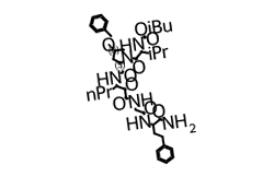 CCCC(NC(=O)[C@@H]1C[C@@H](OCc2ccccc2)CN1C(=O)C(NC(=O)OCC(C)C)C(C)C)C(=O)C(=O)NCC(=O)NC(CCc1ccccc1)C(N)=O